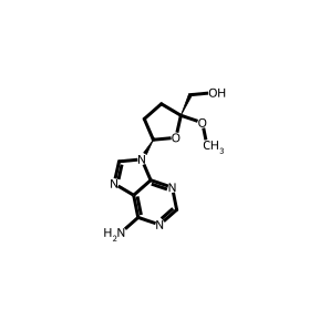 CO[C@@]1(CO)CC[C@H](n2cnc3c(N)ncnc32)O1